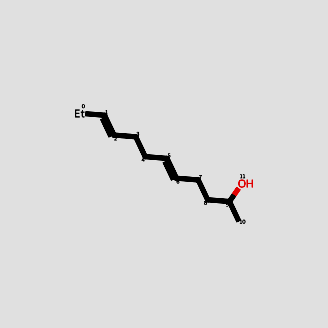 CCC=CCCC=CCCC(C)O